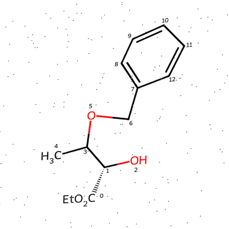 CCOC(=O)[C@@H](O)C(C)OCc1ccccc1